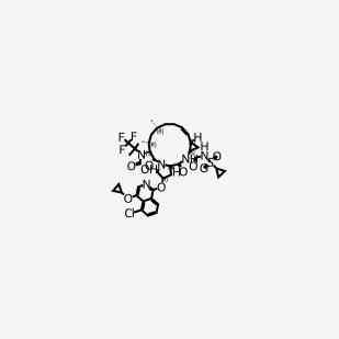 C[C@@H]1CCC=C[C@@H]2C[C@@]2(C(=O)NS(=O)(=O)C2CC2)NC(=O)[C@@H]2C[C@@H](Oc3ncc(OC4CC4)c4c(Cl)cccc34)CN2C(=O)[C@@H](N(C(=O)O)C(C)(C)C(F)(F)F)[C@H](C)C1